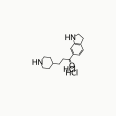 Cl.Cl.O=C(CCC1CCNCC1)c1ccc2c(c1)NCC2